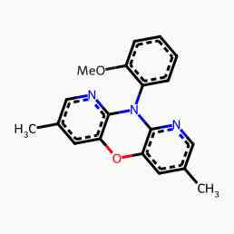 COc1ccccc1N1c2ncc(C)cc2Oc2cc(C)cnc21